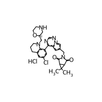 CC1(C)C2C(=O)N(Cc3cc4c(-c5cc(Cl)cc6c5N(C[C@@H]5CNCCO5)CCC6)ncnn4c3)C(=O)C21.Cl